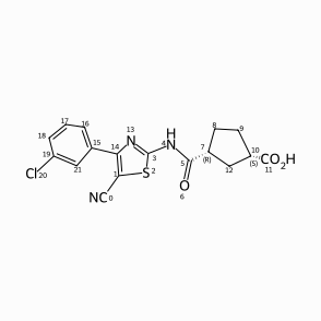 N#Cc1sc(NC(=O)[C@@H]2CC[C@H](C(=O)O)C2)nc1-c1cccc(Cl)c1